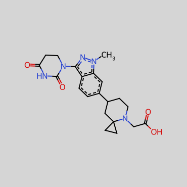 Cn1nc(N2CCC(=O)NC2=O)c2ccc(C3CCN(CC(=O)O)C4(CC4)C3)cc21